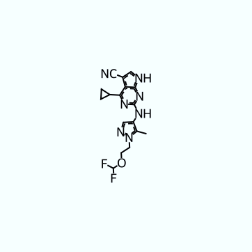 Cc1c(Nc2nc(C3CC3)c3c(C#N)c[nH]c3n2)cnn1CCOC(F)F